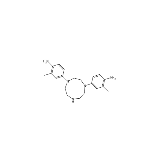 Cc1cc(N2CCNCCN(c3ccc(N)c(C)c3)CC2)ccc1N